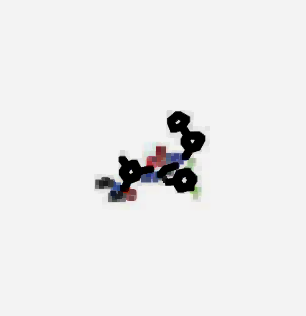 CCCN(CCC)C(=O)c1cc(C)cc(C(=O)N[C@@H](Cc2cc(F)cc(F)c2)[C@H](O)CNCc2cccc(C3CCCC3)c2)c1